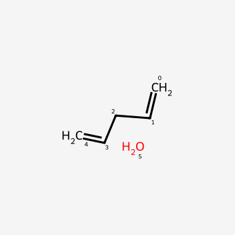 C=CCC=C.O